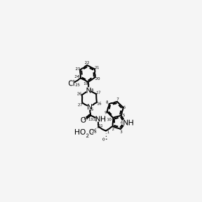 C[C@@H](c1c[nH]c2ccccc12)[C@@H](NC(=O)N1CCN(c2ccccc2Cl)CC1)C(=O)O